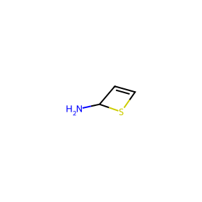 NC1C=CS1